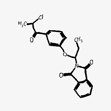 CCC(Oc1cccc(C(=O)C(C)Cl)c1)N1C(=O)c2ccccc2C1=O